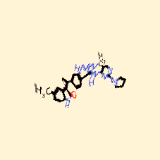 Cc1ccc2c(c1)[C@]1(C[C@H]1c1ccc3c(Nc4nc(N5CCCC5)ncc4C)n[nH]c3c1)C(=O)N2